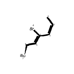 C/C=C\C(Br)=C\C[C@H](C)CC